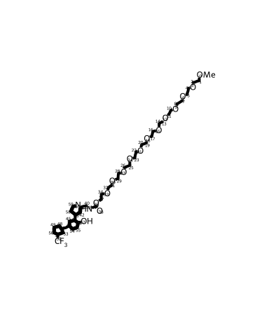 COCCOCCOCCOCCOCCOCCOCCOCCOCCOCCOCCOCCOC(=O)NCc1cc(-c2cc(-c3cccc(C(F)(F)F)c3)ccc2O)ccn1